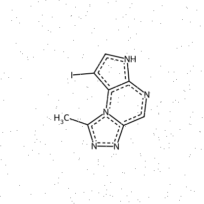 Cc1nnc2cnc3[nH]cc(I)c3n12